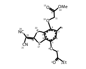 CCC(=O)COc1cc(C)c(OCC(=O)OC)c2c1SC(=C(C#N)C#N)S2